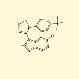 Cc1nc2ccc(Cl)cn2c1C1=CSCN1c1ccc(C(C)(C)C)cc1